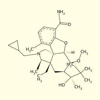 CC[C@]12C[C@H]([C@](C)(O)C(C)(C)C)C(OC)[C@@H]3Oc4c(C(N)=O)ccc(C)c4[C@@]31CCN(CC1CC1)[C@@H]2C